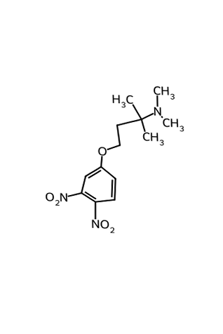 CN(C)C(C)(C)CCOc1ccc([N+](=O)[O-])c([N+](=O)[O-])c1